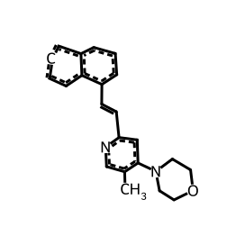 Cc1cnc(C=Cc2cccc3ccccc23)cc1N1CCOCC1